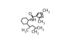 Cc1nn(C)cc1C(=O)NC1CCCCC1C(C)CC(C)C